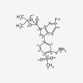 CC(C)(C)OC(=O)n1cc(-c2ccc(S(C)(=O)=O)c(CN)c2)c2ccc(F)cc21